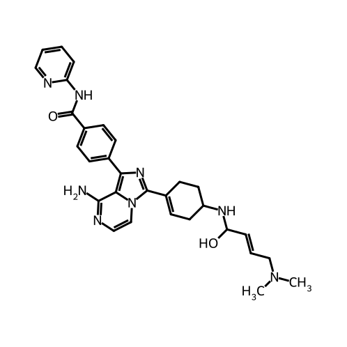 CN(C)C/C=C/C(O)NC1CC=C(c2nc(-c3ccc(C(=O)Nc4ccccn4)cc3)c3c(N)nccn23)CC1